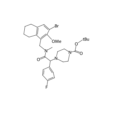 COc1c(Br)cc2c(c1CN(C)C(=O)C(c1ccc(F)cc1)N1CCN(C(=O)OC(C)(C)C)CC1)CCCC2